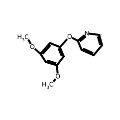 COc1cc(OC)cc(Oc2ccc[c]n2)c1